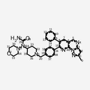 Cc1cc2ncc3cc(-c4ccccc4)c(-c4ccc(CN5CCC(N(C(N)=O)N6CCOCC6)CC5)cc4)nc3n2n1